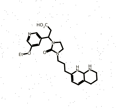 CCOc1cncc(C(CC(=O)O)N2CCN(CCCC3=CC=C4CCCNC4N3)C2=O)c1